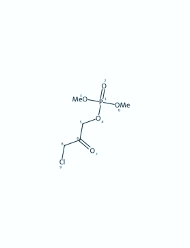 COP(=O)(OC)OCC(=O)CCl